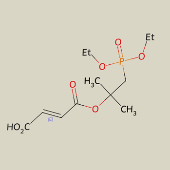 CCOP(=O)(CC(C)(C)OC(=O)/C=C/C(=O)O)OCC